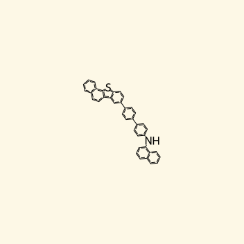 c1ccc2c(Nc3ccc(-c4ccc(-c5ccc6sc7c8ccccc8ccc7c6c5)cc4)cc3)cccc2c1